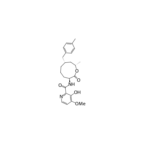 COc1ccnc(C(=O)N[C@H]2CCC[C@H](Cc3ccc(C)cc3)C[C@H](C)OC2=O)c1O